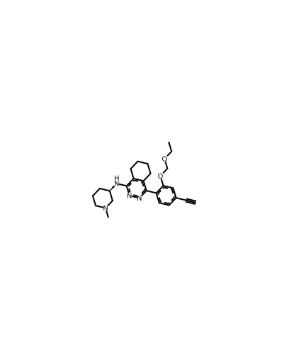 C#Cc1ccc(-c2nnc(N[C@@H]3CCCN(C)C3)c3c2CCCC3)c(OCOCC)c1